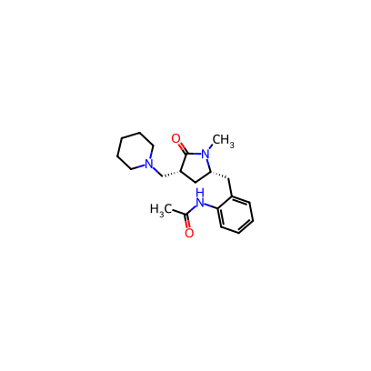 CC(=O)Nc1ccccc1C[C@@H]1C[C@H](CN2CCCCC2)C(=O)N1C